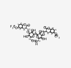 O=C1Oc2ccc(OC(F)(F)F)cc2CC1CO[C@H]1[C@@H](O)[C@@H](CO)O[C@@H](S[C@@H]2O[C@H](CO)[C@H](O)[C@H](OCC3Cc4cc(OC(F)(F)F)ccc4OC3=O)[C@H]2O)[C@@H]1O